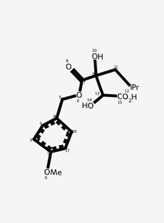 COc1ccc(COC(=O)C(O)(CC(C)C)C(O)C(=O)O)cc1